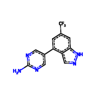 Nc1ncc(-c2cc(C(F)(F)F)cc3[nH]ncc23)cn1